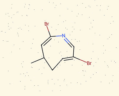 CC1\C=C(Br)/N=C\C(Br)=C\C1